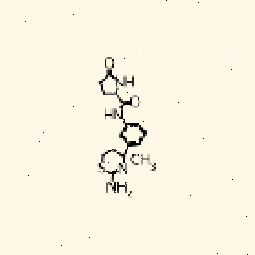 C[C@@]1(c2cccc(NC(=O)[C@H]3CCC(=O)N3)c2)CCSC(N)=N1